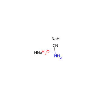 N#CN.O.[NaH].[NaH]